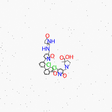 COc1nc(-c2cccc(-c3cccc4c3CC[C@@H]4Oc3nc(OC)c(CN4CCCC(C)(C(=O)O)C4)cc3Cl)c2Cl)ccc1CNC[C@@H]1CCC(=O)N1